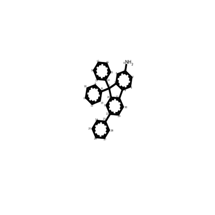 Nc1ccc2c(c1)C(c1ccccc1)(c1ccccc1)c1cc(-c3ccccc3)ccc1-2